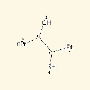 CCCC(O)C(S)CC